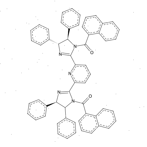 O=C(c1cccc2ccccc12)N1C(c2cccc(C3=N[C@H](c4ccccc4)[C@@H](c4ccccc4)N3C(=O)c3cccc4ccccc34)n2)=N[C@H](c2ccccc2)C1c1ccccc1